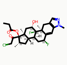 CCC(=O)O[C@]1(C(=O)CCl)[C@@H](C)C[C@H]2[C@@H]3C[C@H](F)C4=Cc5c(cnn5C)C[C@]4(C)[C@@]3(F)[C@@H](O)C[C@@]21C